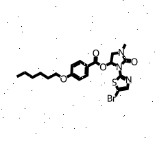 CCCCCCOc1ccc(C(=O)OC2CN(C)C(=O)N2c2ncc(Br)s2)cc1